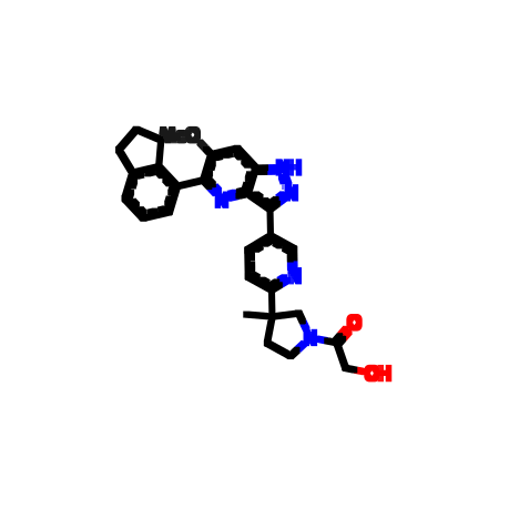 COc1cc2[nH]nc(-c3ccc(C4(C)CCN(C(=O)CO)C4)nc3)c2nc1-c1cccc2c1CCC2